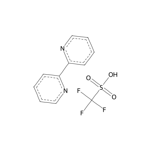 O=S(=O)(O)C(F)(F)F.c1ccc(-c2ccccn2)nc1